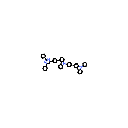 c1ccc(-c2cc(-c3ccc(-c4cccc5c4c4ccccc4n5-c4ccc(-c5ccc6c(c5)c5ccccc5n6-c5ccccc5)cc4)cc3)nc(-c3ccccc3)n2)cc1